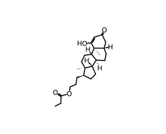 CCC(=O)OCCC[C@@H]1CC[C@H]2[C@@H]3CC[C@H]4CC(=O)C=C(O)[C@]4(C)[C@H]3CC[C@]12C